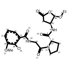 CCO[C@@H]1OC(=O)C[C@@H]1NC(=O)[C@@H]1CCCN1C(=O)CNC(=O)c1cccc(OC)c1Cl